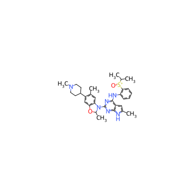 Cc1cc2c(Nc3ccccc3[S+]([O-])C(C)C)nc(N3c4cc(C)c(C5CCN(C)CC5)cc4OC3C)nc2[nH]1